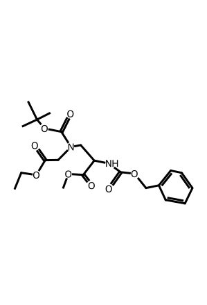 CCOC(=O)CN(CC(NC(=O)OCc1ccccc1)C(=O)OC)C(=O)OC(C)(C)C